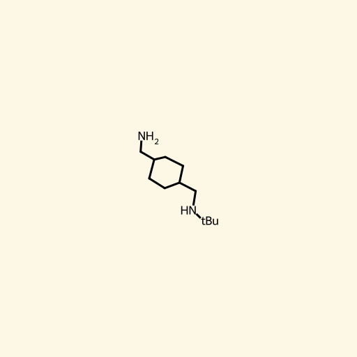 CC(C)(C)NCC1CCC(CN)CC1